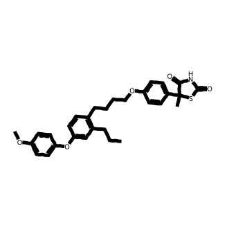 CCCc1cc(Oc2ccc(OC)cc2)ccc1CCCCOc1ccc(C2(C)SC(=O)NC2=O)cc1